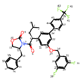 CC(C)C[C@H](C(=O)N1C(=O)OC[C@@H]1Cc1ccccc1)c1cc(OCc2cc(F)cc(F)c2)cc(-c2ccc(C(F)(F)F)cc2)c1